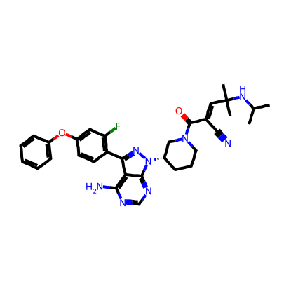 CC(C)NC(C)(C)C=C(C#N)C(=O)N1CCC[C@H](n2nc(-c3ccc(Oc4ccccc4)cc3F)c3c(N)ncnc32)C1